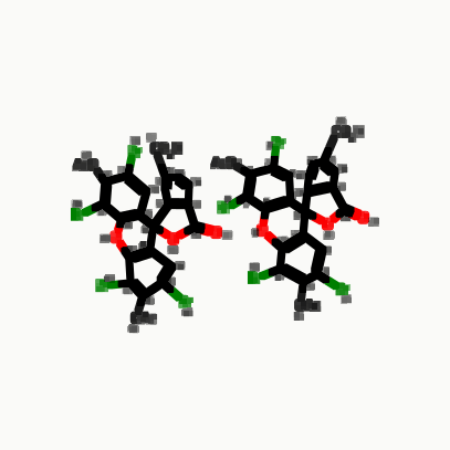 CC(=O)Oc1c(Br)cc2c(c1Br)Oc1c(cc(Br)c(OC(C)=O)c1Br)C21OC(=O)c2cc(C(=O)O)ccc21.CC(=O)Oc1c(Br)cc2c(c1Br)Oc1c(cc(Br)c(OC(C)=O)c1Br)C21OC(=O)c2ccc(C(=O)O)cc21